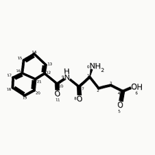 N[C@@H](CCC(=O)O)C(=O)NC(=O)c1cccc2ccccc12